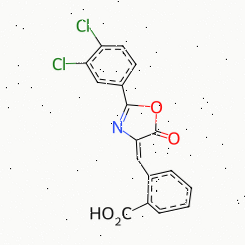 O=C1OC(c2ccc(Cl)c(Cl)c2)=N/C1=C/c1ccccc1C(=O)O